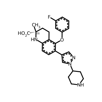 C[C@@]1(C(=O)O)CCc2c(ccc(-c3cnn(C4CCNCC4)c3)c2Oc2cccc(F)c2)N1